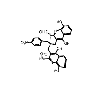 O=CNc1nc2c(O)cccc2c(O)c1CC(Cc1ccc([N+](=O)[O-])cc1)Cc1c(NC=O)nc2c(O)cccc2c1O